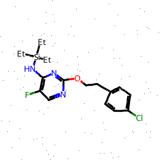 CC[Si](CC)(CC)Nc1nc(OCCc2ccc(Cl)cc2)ncc1F